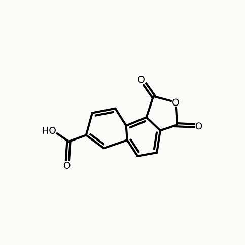 O=C(O)c1ccc2c3c(ccc2c1)C(=O)OC3=O